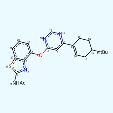 CC(=O)Nc1nc2c(Oc3cc(C4=CCC(C(C)(C)C)CC4)ncn3)cccc2s1